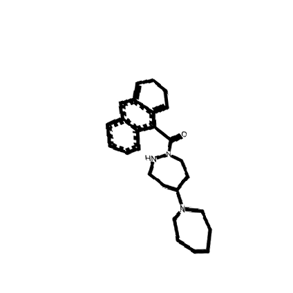 O=C(c1c2c(cc3ccccc13)=CCCC=2)N1CCC(N2CCCCCC2)CCN1